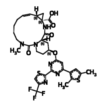 Cc1cc(-c2cc(O[C@H]3CCN4C(=O)N(C)CCCCC=C[C@@H]5C[C@@]5(C(=O)O)NC(=O)[C@@H]4C3)nc(-c3nc(C(F)(F)F)cs3)n2)c(C)s1